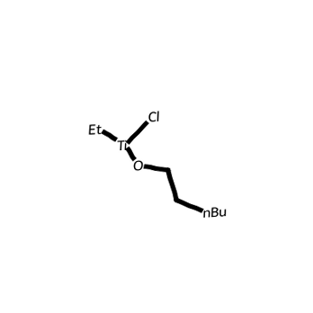 CCCCCC[O][Ti]([Cl])[CH2]C